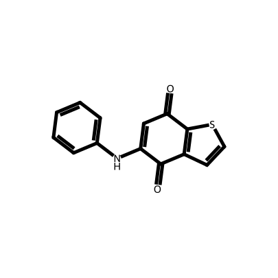 O=C1C(Nc2ccccc2)=CC(=O)c2sccc21